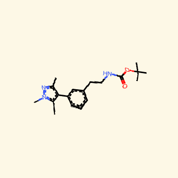 Cc1nn(C)c(C)c1-c1cccc(CCNC(=O)OC(C)(C)C)c1